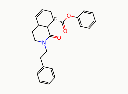 O=C(Oc1ccccc1)[C@H]1CC=CC2CCN(CCc3ccccc3)C(=O)C21